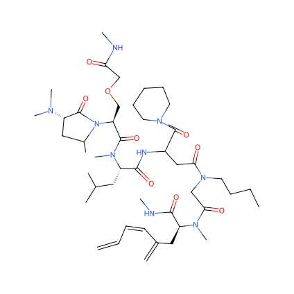 C=C/C=C\C(=C)C[C@@H](C(=O)NC)N(C)C(=O)CN(CCCC)C(=O)CC(NC(=O)[C@H](CC(C)C)N(C)C(=O)[C@H](COCC(=O)NC)N1C(=O)[C@@H](N(C)C)CC1C)C(=O)N1CCCCC1